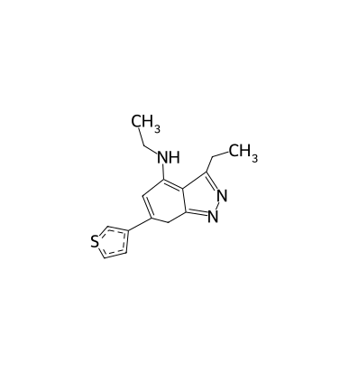 CCNC1=C2C(CC)=NN=C2CC(c2ccsc2)=C1